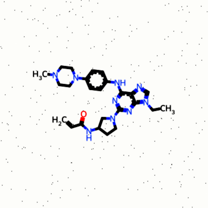 C=CC(=O)NC1CCN(c2nc(Nc3ccc(N4CCN(C)CC4)cc3)c3ncn(CC)c3n2)C1